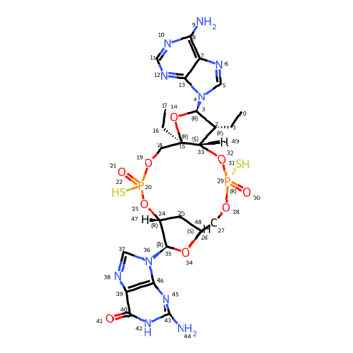 CC[C@H]1[C@H](n2cnc3c(N)ncnc32)O[C@]2(CC)COP(=O)(S)O[C@@H]3C[C@@H](CO[P@@](=O)(S)O[C@@H]12)O[C@H]3n1cnc2c(=O)[nH]c(N)nc21